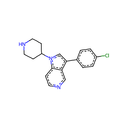 Clc1ccc(-c2cn(C3CCNCC3)c3ccncc23)cc1